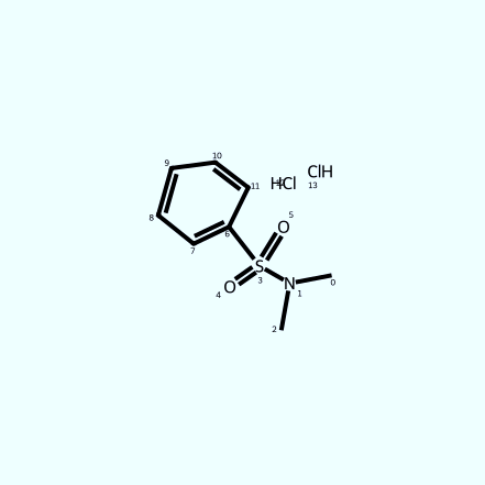 CN(C)S(=O)(=O)c1ccccc1.Cl.Cl